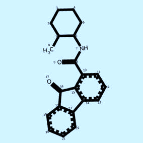 CC1CCCCC1NC(=O)c1cccc2c1C(=O)c1ccccc1-2